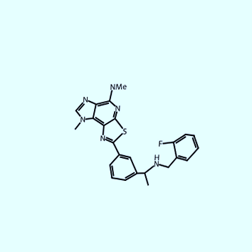 CNc1nc2sc(-c3cccc(C(C)NCc4ccccc4F)c3)nc2c2c1ncn2C